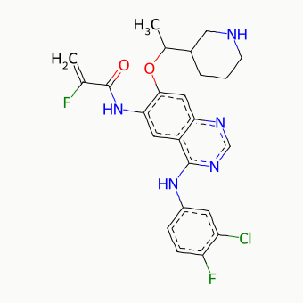 C=C(F)C(=O)Nc1cc2c(Nc3ccc(F)c(Cl)c3)ncnc2cc1OC(C)C1CCCNC1